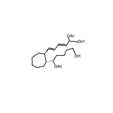 CCCCCCCCC(/C=C/C=C/[C@@H]1CCCCC[C@H]1C(CCCCO)OC(C)=O)OC(C)=O